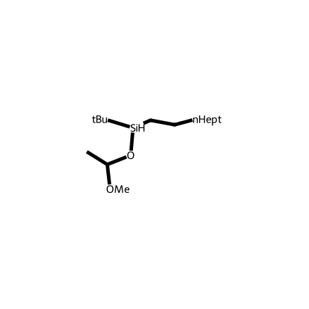 CCCCCCCCC[SiH](OC(C)OC)C(C)(C)C